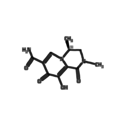 C[C@H]1CN(C)C(=O)c2c(O)c(=O)c(C(N)=O)cn21